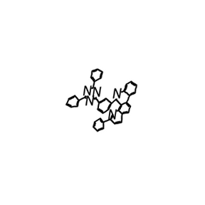 c1ccc(-c2ccc3ccc4c5ccccc5nc(-c5cccc(-c6nc(-c7ccccc7)nc(-c7ccccc7)n6)c5)c4c3n2)cc1